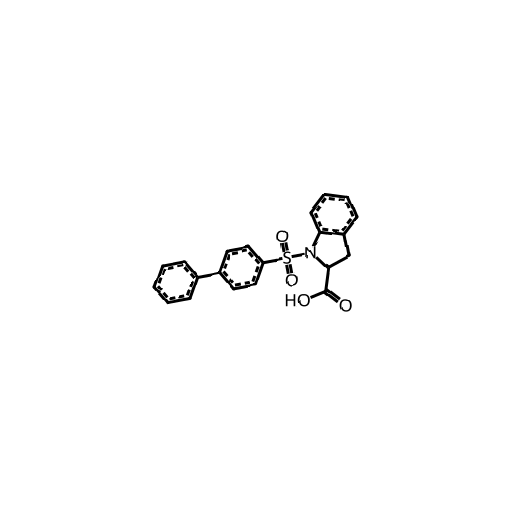 O=C(O)C1Cc2ccccc2N1S(=O)(=O)c1ccc(-c2ccccc2)cc1